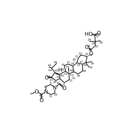 COC(=O)N1CCN(C(=O)[C@@]23CC[C@]4(C)[C@H](CCC5[C@@]6(C)CC[C@H](OC(=O)CC(C)(C)C(=O)O)C(C)(C)C6CC[C@]54C)C2=C(C(C)C)C(=O)C3)CC1